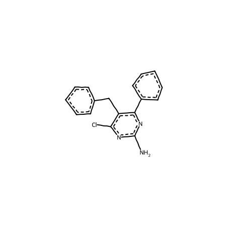 Nc1nc(Cl)c(Cc2ccccc2)c(-c2ccccc2)n1